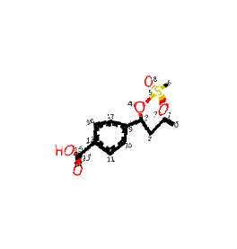 CCCC(OS(C)(=O)=O)c1ccc(C(=O)O)cc1